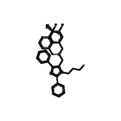 CCCCn1c(-c2ccccc2)nc(-c2ccccc2)c1CN(Cc1cccc(C(F)(F)F)c1)Cc1ccc(Cl)c(F)c1